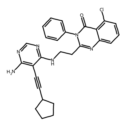 Nc1ncnc(NCCc2nc3cccc(Cl)c3c(=O)n2-c2ccccc2)c1C#CC1CCCC1